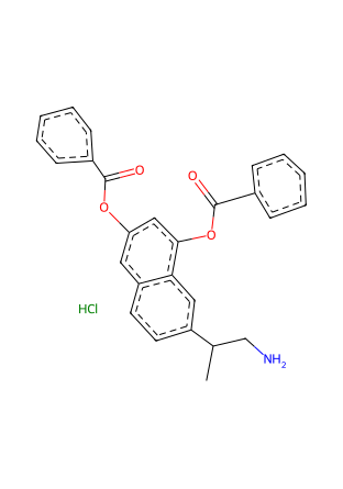 CC(CN)c1ccc2cc(OC(=O)c3ccccc3)cc(OC(=O)c3ccccc3)c2c1.Cl